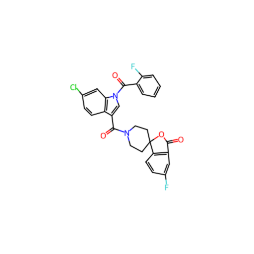 O=C1OC2(CCN(C(=O)c3cn(C(=O)c4ccccc4F)c4cc(Cl)ccc34)CC2)c2ccc(F)cc21